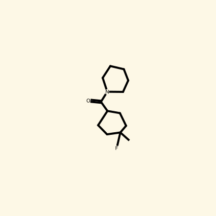 CC1(F)CCC(C(=O)N2CCCCC2)CC1